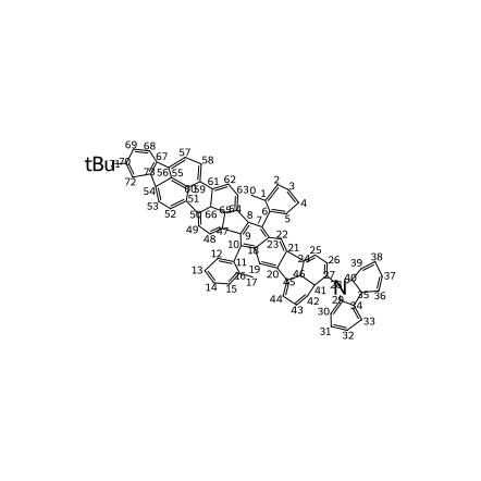 Cc1ccccc1-c1c2c(c(-c3ccccc3C)c3cc4c(cc13)C1=CC=C(N3c5ccccc5C5C=CC=CC53)C3C=CC=C4C13)C1=CC=C3c4ccc5c6c(ccc(c46)C4=CC=C2C1C43)-c1ccc(C(C)(C)C)cc1-5